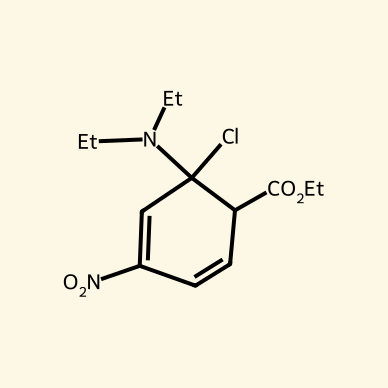 CCOC(=O)C1C=CC([N+](=O)[O-])=CC1(Cl)N(CC)CC